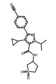 CC(C)n1nc(-c2ccc(C#N)cc2)c(C2CC2)c1C(=O)NC1CCS(=O)(=O)C1